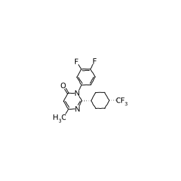 Cc1cc(=O)n(-c2ccc(F)c(F)c2)c([C@H]2CC[C@@H](C(F)(F)F)CC2)n1